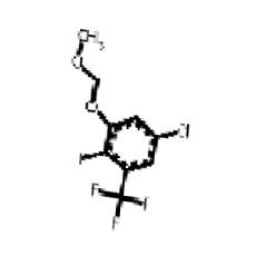 COCOc1cc(Cl)cc(C(F)(F)F)c1I